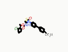 CC(OC(=O)Nc1csc(=O)n1-c1ccc(-c2ccc(CC(=O)O)cc2)cc1)c1ccccc1Cl